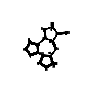 O=C1NN=C(c2ccco2)C1=Cc1ccc[nH]1